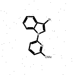 COc1cccc(-n2cc(Br)c3ccccc32)n1